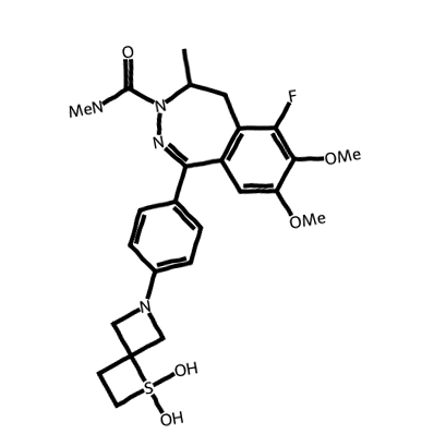 CNC(=O)N1N=C(c2ccc(N3CC4(CCS4(O)O)C3)cc2)c2cc(OC)c(OC)c(F)c2CC1C